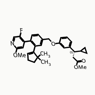 COC(=O)C[C@H](c1cccc(OCc2ccc(-c3cc(OC)ncc3F)c(C3=CCCC3(C)C)c2)c1)C1CC1